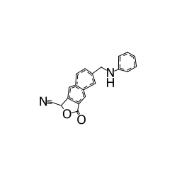 N#CC1OC(=O)c2cc3cc(CNc4ccccc4)ccc3cc21